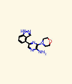 Nc1ncc(-c2cccc3[nH]ncc23)nc1N1CCOCC1